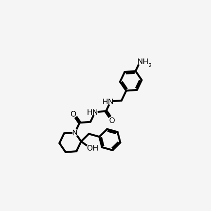 Nc1ccc(CNC(=O)NCC(=O)N2CCCCC2(O)Cc2ccccc2)cc1